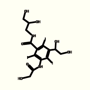 O=C(CO)Nc1c(I)c(C(=O)NCC(O)CO)c(I)c(C(O)CO)c1I